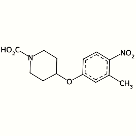 Cc1cc(OC2CCN(C(=O)O)CC2)ccc1[N+](=O)[O-]